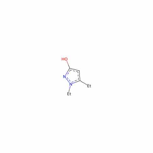 CCc1cc(O)nn1CC